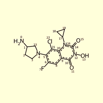 NC1CCN(c2c(F)cc3c(=O)n(O)c(=O)n(C4CC4)c3c2Cl)C1